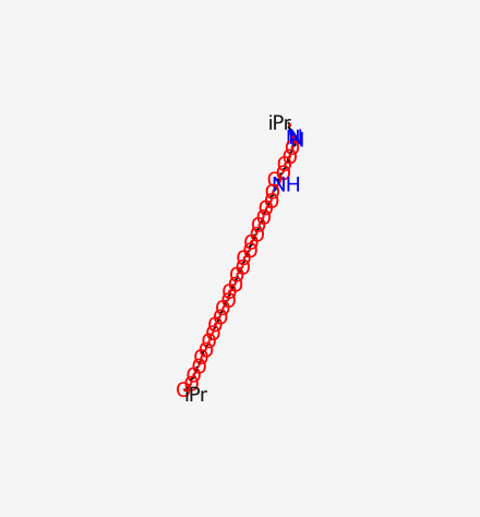 CC(C)CCCCn1cc(COCCOCCOCCOCCC(=O)NCCOCCOCCOCCOCCOCCOCCOCCOCCOCCOCCOCCOCCOCCOCCOCCOCCOCCOCCOCCOCCOCCOCCOCCOCCC(=O)C(C)C)nn1